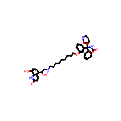 O=C(O)NC(c1ccccc1)(c1cccc(OCCCCCCCCCNCC(O)c2ccc(O)c3[nH]c(=O)ccc23)c1)C1CN2CCC1CC2